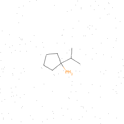 CC(C)C1(P)CCCC1